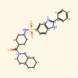 O=C(C1CCC(NS(=O)(=O)c2ccc3[nH]c(-c4ccccc4)nc3c2)CC1)N1CCC2CCCCC2C1